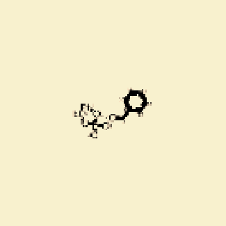 CCOP(=O)(OCC)OOCc1ccccc1